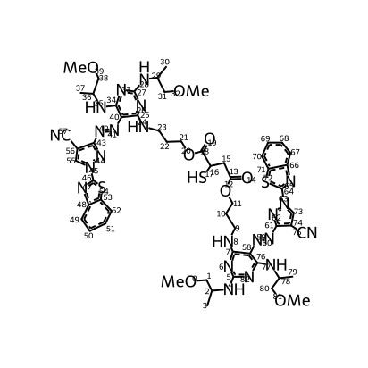 COCC(C)Nc1nc(NCCCOC(=O)CC(S)C(=O)OCCCNc2nc(NC(C)COC)nc(NC(C)COC)c2N=Nc2nn(-c3nc4ccccc4s3)cc2C#N)c(N=Nc2nn(-c3nc4ccccc4s3)cc2C#N)c(NC(C)COC)n1